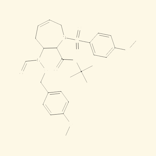 COc1ccc(CON(C=O)C2CC=CCN(S(=O)(=O)c3ccc(OC)cc3)C2C(=O)OC(C)(C)C)cc1